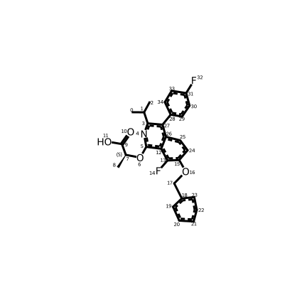 CC(C)c1nc(O[C@@H](C)C(=O)O)c2c(F)c(OCc3ccccc3)ccc2c1-c1ccc(F)cc1